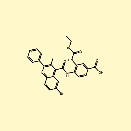 CCNC(=O)Nc1cc(C(=O)O)ccc1NC(=O)c1c(C)c(-c2ccccc2)nc2ccc(Br)cc12